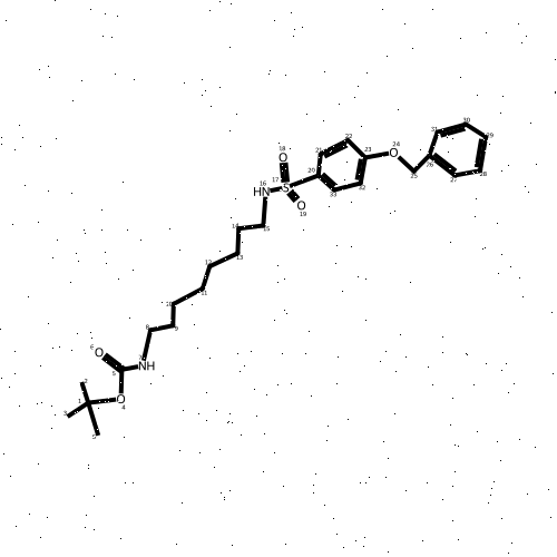 CC(C)(C)OC(=O)NCCCCCCCCNS(=O)(=O)c1ccc(OCc2ccccc2)cc1